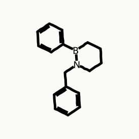 c1ccc(CN2CCCCB2c2ccccc2)cc1